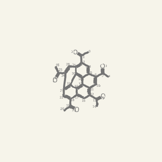 CC(=O)c1cc2c(C(C)=O)cc3c(C(C)=O)cc4c(C(C)=O)cc5c(C(C)=O)cc1c1c5c4c3c21